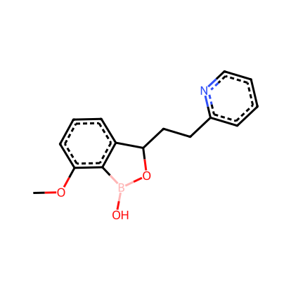 COc1cccc2c1B(O)OC2CCc1ccccn1